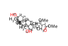 COC(=O)CCC(C[C@@H](C)C1C[C@H](O)[C@@]2(C)C3CC[C@H]4C(C)(C)C(O)CCC45CC35CCC12C)OC